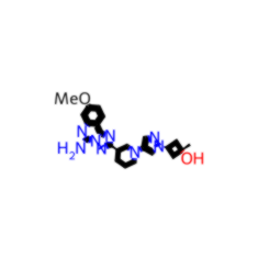 COc1ccc2c(c1)nc(N)n1nc([C@@H]3CCCN(c4cnn([C@H]5C[C@@](C)(O)C5)c4)C3)nc21